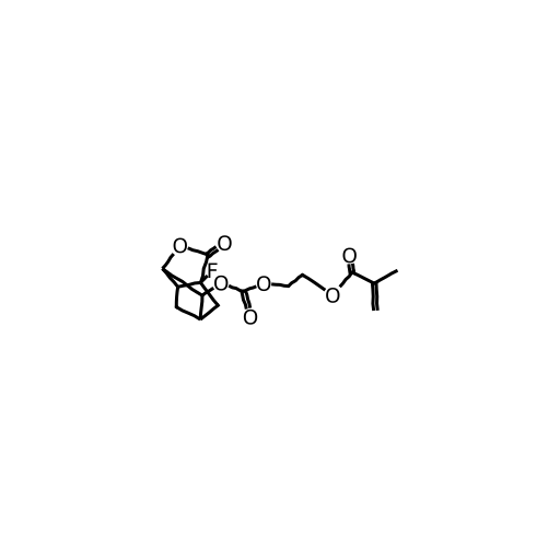 C=C(C)C(=O)OCCOC(=O)OC1C2CC3C1OC(=O)C3(F)C2